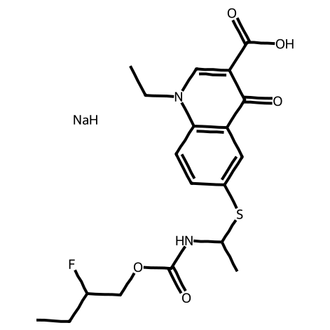 CCC(F)COC(=O)NC(C)Sc1ccc2c(c1)c(=O)c(C(=O)O)cn2CC.[NaH]